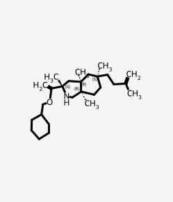 C=C(C)CC[C@@]1(C)CC[C@@]2(C)CN[C@](C)(C(=C)OCC3CCCCC3)C[C@@]2(C)C1